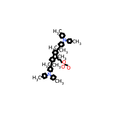 Cc1ccc(N(c2ccc(C)cc2)c2ccc(C(C)(C)c3ccc4c(c3)C(C)(CCCOC(=O)C=O)c3cc(C(C)(C)c5ccc(N(c6ccc(C)cc6)c6ccc(C)cc6)cc5)ccc3-4)cc2)cc1